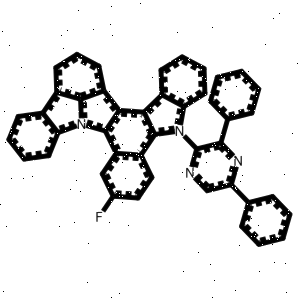 Fc1ccc2c(c1)c1c(c3cccc4c5ccccc5n1c43)c1c3ccccc3n(-c3ncc(-c4ccccc4)nc3-c3ccccc3)c21